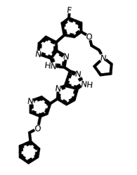 Fc1cc(OCCN2CCCC2)cc(-c2ccnc3[nH]c(-c4n[nH]c5ccc(-c6cncc(OCc7ccccc7)c6)nc45)nc23)c1